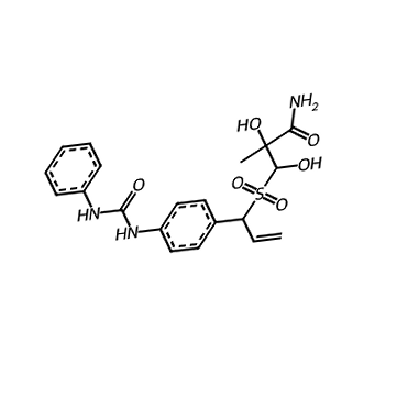 C=CC(c1ccc(NC(=O)Nc2ccccc2)cc1)S(=O)(=O)C(O)C(C)(O)C(N)=O